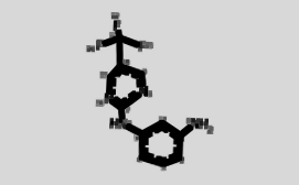 Nc1cccc(Nc2ncc(C(F)(F)F)cn2)c1